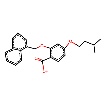 CC(C)CCOc1ccc(C(=O)O)c(OCc2cccc3ccccc23)c1